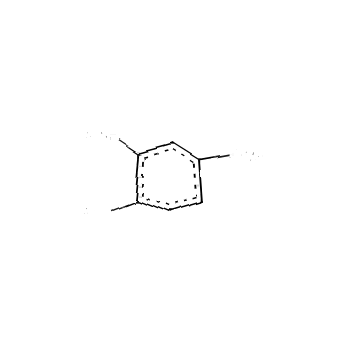 COc1ccc(OC(C)=O)c(NC(C)=O)c1